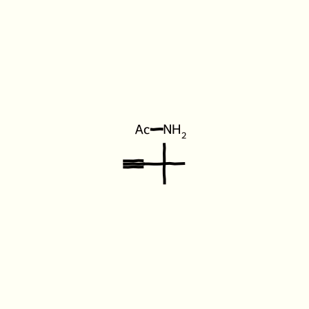 C#CC(C)(C)C.CC(N)=O